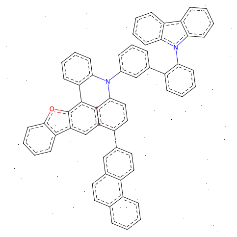 c1cc(-c2ccccc2-n2c3ccccc3c3ccccc32)cc(N(c2ccc(-c3ccc4c(ccc5ccccc54)c3)cc2)c2ccccc2-c2cccc3c2oc2ccccc23)c1